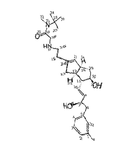 Cc1cccc(C[C@@H](O)/C=C/[C@@H]2[C@H]3CC(CCNCC(=O)N(C)C(C)(C)C)=C[C@H]3C[C@H]2O)c1